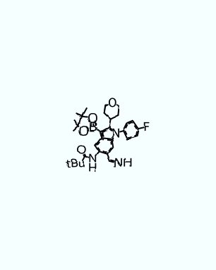 CC(C)(C)C(=O)Nc1cc2c(B3OC(C)(C)C(C)(C)O3)c(C3CCOCC3)n(-c3ccc(F)cc3)c2cc1C=N